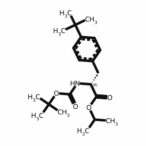 CC(C)OC(=O)[C@@H](Cc1ccc(C(C)(C)C)cc1)NC(=O)OC(C)(C)C